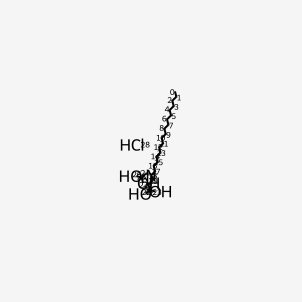 CCCCCCCCCCCCCCCCCCN(CCC(O)O)CC(O)O.Cl